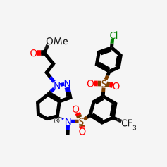 COC(=O)CCn1ncc2c1CCC[C@H]2N(C)S(=O)(=O)c1cc(C(F)(F)F)cc(S(=O)(=O)c2ccc(Cl)cc2)c1